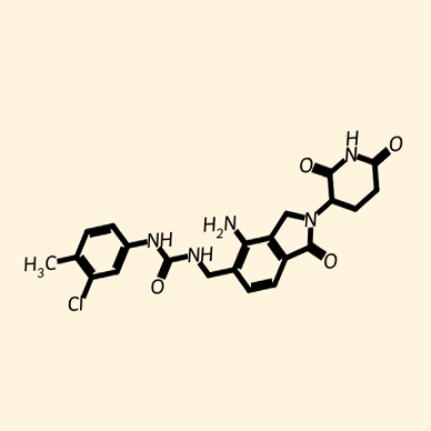 Cc1ccc(NC(=O)NCc2ccc3c(c2N)CN(C2CCC(=O)NC2=O)C3=O)cc1Cl